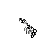 CC(CCN1CCC(N(C)C)CC1)S(=O)(=O)NC(=O)Nc1c2c(cc3c1CCC3)CCC2